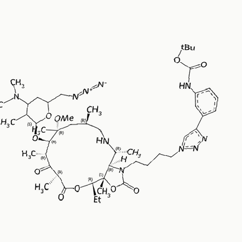 CC[C@H]1OC(=O)[C@H](C)C(=O)[C@H](C)[C@@H](O[C@@H]2OC(CN=[N+]=[N-])CC(N(C)C)C2C)[C@](C)(OC)C[C@@H](C)CN[C@H](C)[C@H]2N(CCCCn3cc(-c4cccc(NC(=O)OC(C)(C)C)c4)nn3)C(=O)O[C@]12C